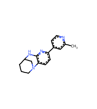 Cc1cc(-c2ccc3c(n2)NC2CCCN3C2)ccn1